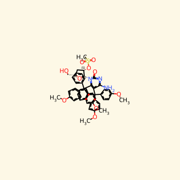 COc1ccc(C(c2ccccc2)(c2ccc(OC)cc2)c2c(N)nc(=O)n([C@@H]3O[C@H](CO)C[C@@H]3OS(C)(=O)=O)c2C(c2ccccc2)(c2ccc(OC)cc2)c2ccc(OC)cc2)cc1